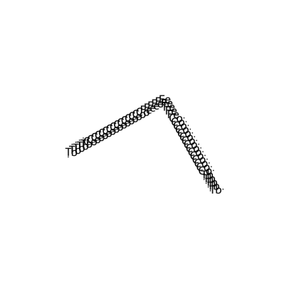 [Co].[Co].[Co].[Co].[Co].[Co].[Co].[Co].[Co].[Co].[Co].[Co].[Co].[Co].[Co].[Co].[Co].[Co].[Co].[Co].[Co].[Co].[Co].[Co].[Co].[Co].[Co].[Co].[Co].[Co].[Fe].[Fe].[Fe].[Fe].[Fe].[Fe].[Fe].[Fe].[Fe].[Fe].[Tb].[Tb].[Tb].[Tb].[Tb].[Tb].[Tb].[Tb].[Tb].[Tb]